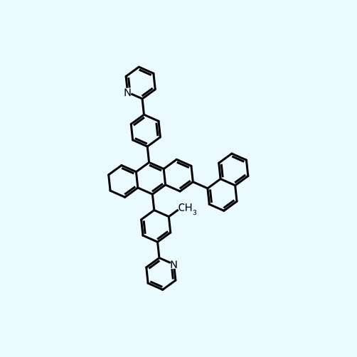 CC1C=C(c2ccccn2)C=CC1c1c2c(c(-c3ccc(-c4ccccn4)cc3)c3ccc(-c4cccc5ccccc45)cc13)=CCCC=2